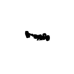 O=C(CC12CC3CC(CC(C3)C1)C2)NCCOCCOCCCCCC1OCCO1